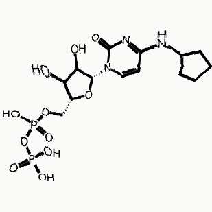 O=c1nc(NC2CCCC2)ccn1[C@@H]1O[C@H](COP(=O)(O)OP(=O)(O)O)C(O)C1O